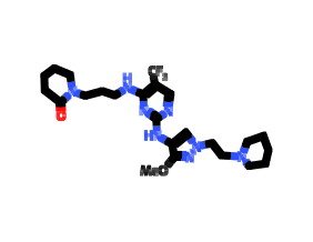 COc1nn(CCN2CCCCC2)cc1Nc1ncc(C(F)(F)F)c(NCCCN2CCCCC2=O)n1